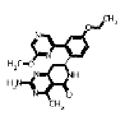 CCOc1ccc([C@H]2Cc3nc(N)nc(C)c3C(=O)N2)c(-c2cncc(OC)n2)c1